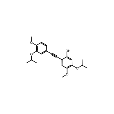 COc1ccc(C#Cc2cc(OC)c(OC(C)C)cc2O)cc1OC(C)C